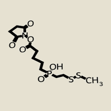 CSSCCP(=O)(O)CCCCC(=O)ON1C(=O)CCC1=O